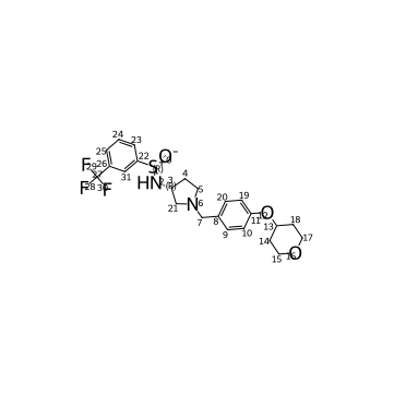 [O-][S@+](N[C@@H]1CCN(Cc2ccc(OC3CCOCC3)cc2)C1)c1cccc(C(F)(F)F)c1